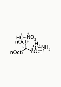 CCCCCCCCP(CCCCCCCC)CCCCCCCC.CN.O=[N+]([O-])O